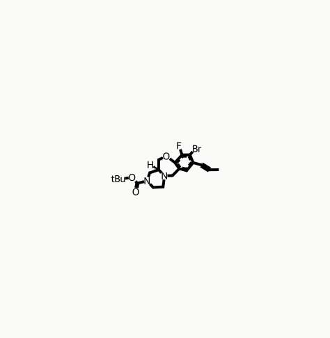 CC#Cc1cc2c(c(F)c1Br)OC[C@H]1CN(C(=O)OC(C)(C)C)CCN1C2